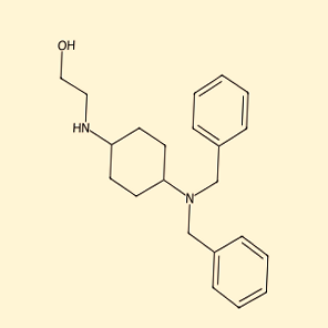 OCCNC1CCC(N(Cc2ccccc2)Cc2ccccc2)CC1